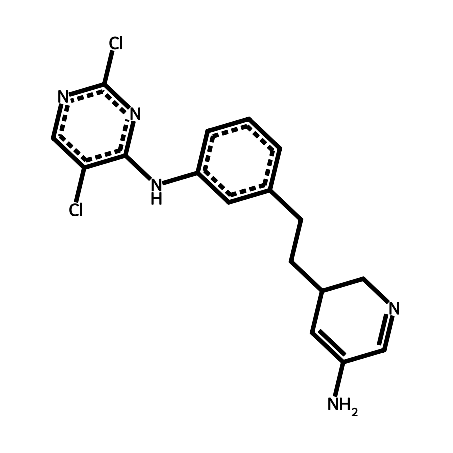 NC1=CC(CCc2cccc(Nc3nc(Cl)ncc3Cl)c2)CN=C1